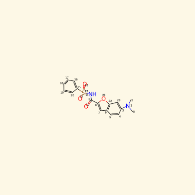 CN(C)c1ccc2cc(C(=O)NS(=O)(=O)c3ccccc3)oc2c1